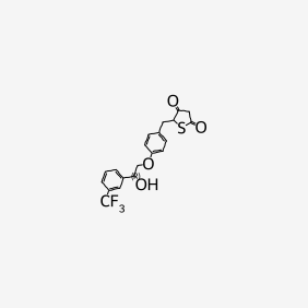 O=C1CC(=O)C(Cc2ccc(OC[C@H](O)c3cccc(C(F)(F)F)c3)cc2)S1